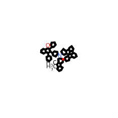 CC1(C)c2ccccc2-c2ccc(N(c3ccc(-c4c(-c5ccccc5)c5ccccc5c5oc6ccccc6c45)cc3)c3ccc4c(c3)C3(c5ccccc5-c5ccccc53)c3ccccc3-4)cc21